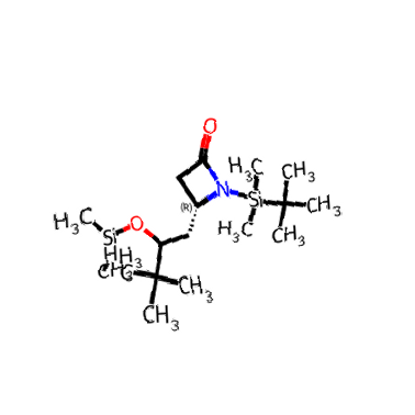 C[SiH](C)OC(C[C@@H]1CC(=O)N1[Si](C)(C)C(C)(C)C)C(C)(C)C